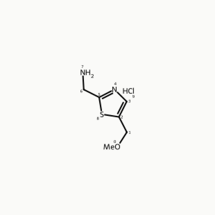 COCc1cnc(CN)s1.Cl